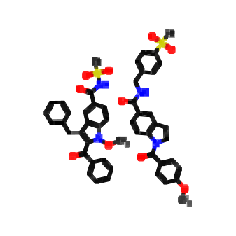 CCS(=O)(=O)NC(=O)c1ccc2c(c1)c(Cc1ccccc1)c(C(=O)c1ccccc1)n2OC(F)(F)F.CCS(=O)(=O)c1ccc(CNC(=O)c2ccc3c(ccn3C(=O)c3ccc(OC(F)(F)F)cc3)c2)cc1